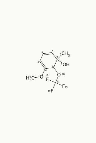 COC1=CC=CC(C)(O)C1OC(F)(F)F